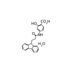 O.O=C(CCC1c2ccccc2-c2ccccc21)Nc1ccc(C(=O)O)c(O)c1